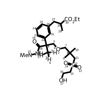 [2H]C([2H])([2H])C(COCC(C)(C)CS(=O)(=O)CCO)(C(=O)NNC)c1cccc(CC(C)C(=O)OCC)c1